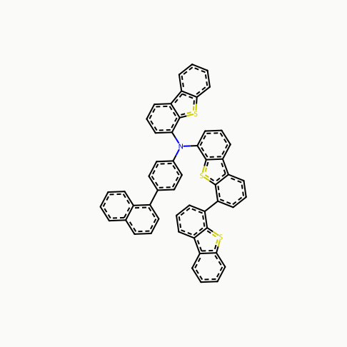 c1ccc2c(-c3ccc(N(c4cccc5c4sc4ccccc45)c4cccc5c4sc4c(-c6cccc7c6sc6ccccc67)cccc45)cc3)cccc2c1